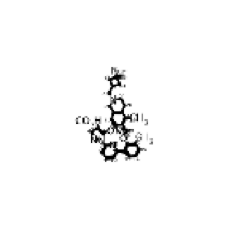 COc1c(C(=O)O)cnn1-c1cccc(-c2cccc(C)c2OCc2ccc3c(c2C)CCN(CC2CC(F)(F)C2)C3)n1